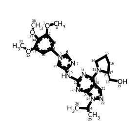 COc1cc(-n2cnc(Nc3nc(N4CCC[C@H]4CO)c4cnn(C(C)C)c4n3)c2)cc(OC)c1OC